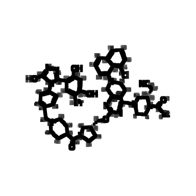 CCC(=O)N1CCN(c2nc(OC[C@@H]3CCN(C(=O)C4CCN(Cc5ccc(-n6c(O)nnc6-c6cc(C(C)C)c(O)cc6O)cc5)CC4)C3)nc3c2CCN(c2cccc4cccc(Cl)c24)C3)C[C@@H]1CC#N